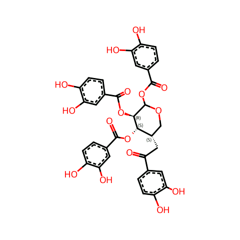 O=C(C[C@H]1COC(OC(=O)c2ccc(O)c(O)c2)[C@H](OC(=O)c2ccc(O)c(O)c2)[C@H]1OC(=O)c1ccc(O)c(O)c1)c1ccc(O)c(O)c1